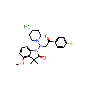 COc1cccc2c1C(C)(C)C(=O)N2C(CC(=O)c1ccc(F)cc1)N1CCCCC1.Cl